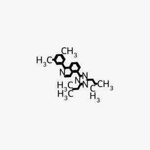 Cc1cc(C)cc(-c2nccc3c(-c4nc(CC(C)C)nc(CC(C)C)n4)cccc23)c1